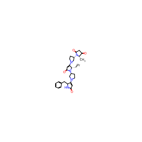 CC(C)C[C@H]1C(N2CC[C@H](N3C(=O)CC(=O)[C@@H]3C)C2)=CC(=O)N1[C@H]1CCN(C2=CC(=O)NC2Cc2ccccc2)C1